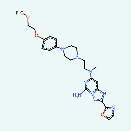 CN(CCN1CCN(c2ccc(OCCOC(F)(F)F)cc2)CC1)c1cc2nc(-c3ncco3)nn2c(N)n1